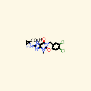 Cn1c(NC2(C(=O)O)CC2)nc2c1c(=O)n(Cc1ccc(Cl)c(Cl)c1)c(=O)n2C